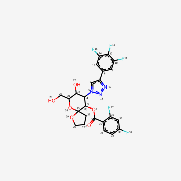 O=C(O[C@@H]1C(n2cc(-c3cc(F)c(F)c(F)c3)nn2)C(O)C(CO)OC12CCCO2)c1ccc(F)cc1F